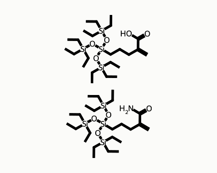 C=C(CCC[Si](O[Si](CC)(CC)CC)(O[Si](CC)(CC)CC)O[Si](CC)(CC)CC)C(=O)O.C=C(CCC[Si](O[Si](CC)(CC)CC)(O[Si](CC)(CC)CC)O[Si](CC)(CC)CC)C(N)=O